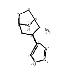 N.c1[nH]nnc1C1CC2CCC(C1)N2